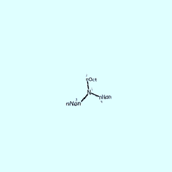 CCCCCCCCCN(CCCCCCCC)CCCCCCCCC